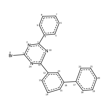 Brc1nc(-c2ccccc2)nc(-c2cccc(-c3ccccc3)c2)n1